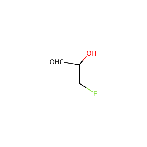 O=CC(O)CF